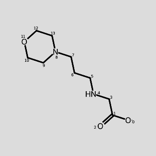 [O]C(=O)CNCCCN1CCOCC1